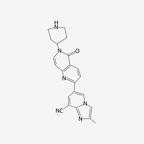 Cc1cn2cc(-c3ccc4c(=O)n(C5CCNCC5)ccc4n3)cc(C#N)c2n1